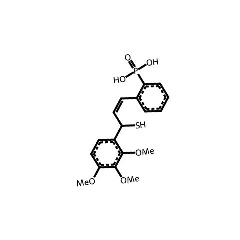 COc1ccc(C(S)/C=C\c2ccccc2P(=O)(O)O)c(OC)c1OC